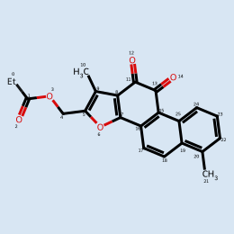 CCC(=O)OCc1oc2c(c1C)C(=O)C(=O)c1c-2ccc2c(C)cccc12